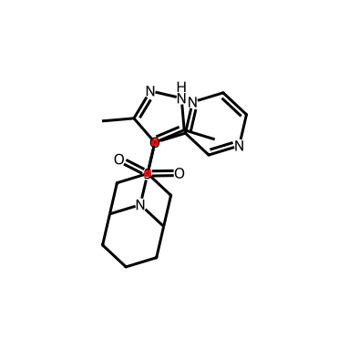 Cc1n[nH]c(C)c1S(=O)(=O)N1C2CCCC1CC(Oc1cnccn1)C2